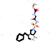 C=C/C(=C\c1ccccc1)[C@H]1CN(S(=O)(=O)NC(=O)CNC(=O)OC(C)(C)C)C[C@@H]1C